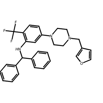 FC(F)(F)c1ccc(N2CCN(Cc3ccoc3)CC2)cc1NC(c1ccccc1)c1ccccc1